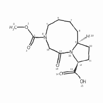 COC(=O)N1CCCC[C@H]2CC[C@@H](C(=O)O)N2C(=O)C1